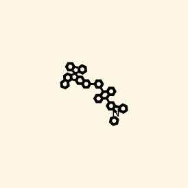 c1ccc(-n2c3ccccc3c3cc(-c4c5ccccc5c(-c5cccc(-c6ccc7cc8c(cc7c6)C6(c7ccccc7-c7ccccc76)c6ccc7ccccc7c6-8)c5)c5ccccc45)ccc32)cc1